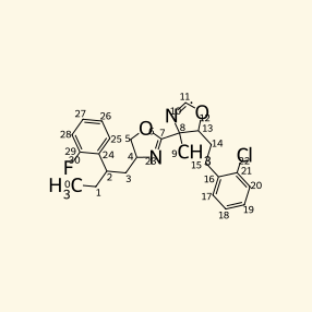 CCC(CC1COC(C2(C)N=[C]OC2CCc2ccccc2Cl)=N1)c1ccccc1F